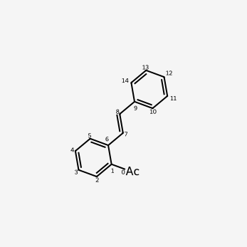 CC(=O)c1ccccc1C=Cc1ccccc1